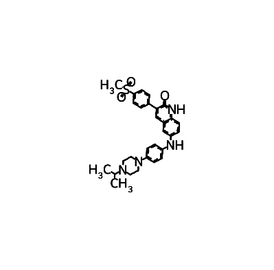 CC(C)N1CCN(c2ccc(Nc3ccc4[nH]c(=O)c(-c5ccc(S(C)(=O)=O)cc5)cc4c3)cc2)CC1